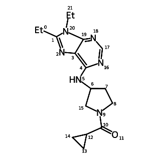 CCc1nc2c(NC3CCN(C(=O)C4CC4)C3)ncnc2n1CC